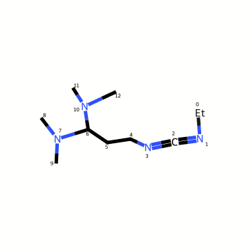 CCN=C=NCCC(N(C)C)N(C)C